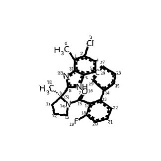 Cc1c(Cl)ccc2[nH]c([C@]3(C)CCCN3C(=O)c3c(F)cccc3-c3ccccc3)nc12